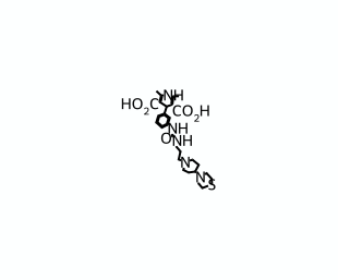 CC1=C(C(=O)O)C(c2cccc(NC(=O)NCCCN3CCC(N4CCSCC4)CC3)c2)C(C(=O)O)=C(C)N1